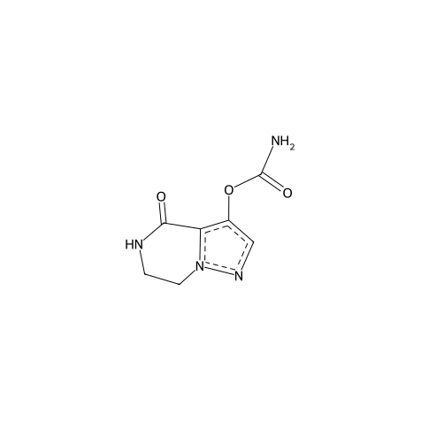 NC(=O)Oc1cnn2c1C(=O)NCC2